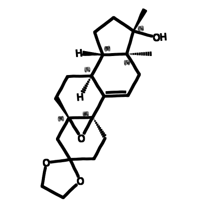 C[C@]1(O)CC[C@H]2[C@@H]3CC[C@@]45CC6(CC[C@@]4(O5)C3=CC[C@@]21C)OCCO6